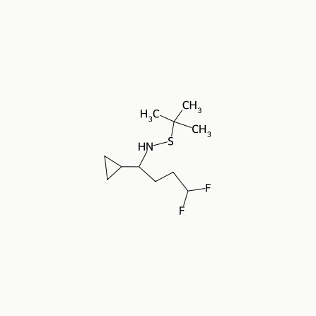 CC(C)(C)SNC(CCC(F)F)C1CC1